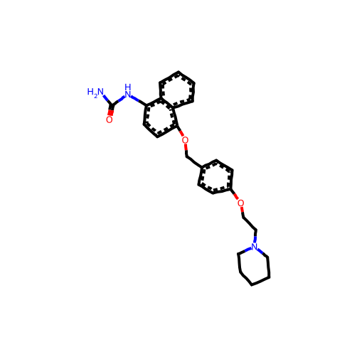 NC(=O)Nc1ccc(OCc2ccc(OCCN3CCCCC3)cc2)c2ccccc12